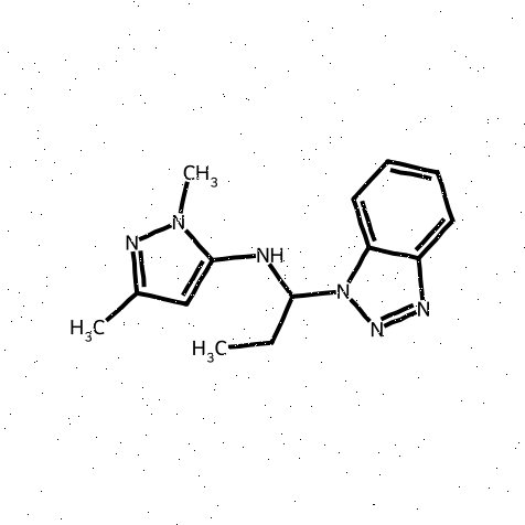 CCC(Nc1cc(C)nn1C)n1nnc2ccccc21